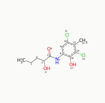 CCCC(O)C(=O)Nc1cc(Cl)c(C)c(Cl)c1O